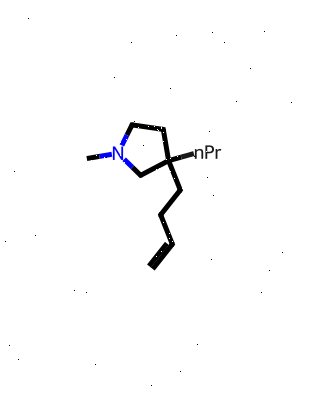 C=CCCC1(CCC)CCN(C)C1